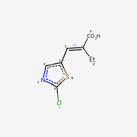 CC/C(=C\c1cnc(Cl)s1)C(=O)O